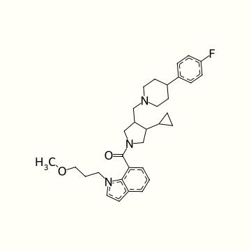 COCCCn1ccc2cccc(C(=O)N3CC(CN4CCC(c5ccc(F)cc5)CC4)C(C4CC4)C3)c21